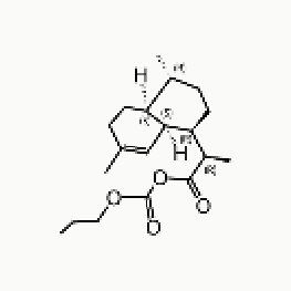 CCCOC(=O)OC(=O)[C@H](C)[C@@H]1CC[C@@H](C)[C@@H]2CCC(C)=C[C@@H]21